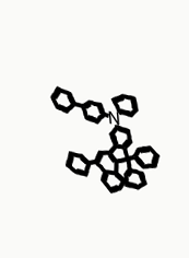 c1ccc(-c2ccc(N(c3ccccc3)c3ccc4c(c3)-c3cc(-c5ccccc5)c5ccccc5c3C4(c3ccccc3)c3ccccc3)cc2)cc1